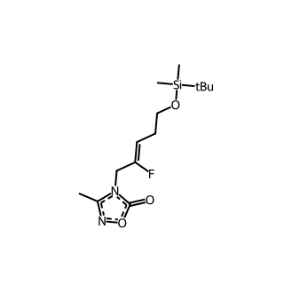 Cc1noc(=O)n1CC(F)=CCCO[Si](C)(C)C(C)(C)C